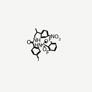 CC(CNC(=O)c1ccc(I)cc1NS(=O)(=O)c1c(F)cccc1F)c1ccc([N+](=O)[O-])cc1